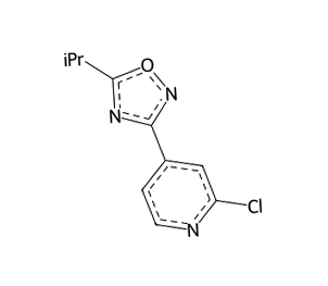 CC(C)c1nc(-c2ccnc(Cl)c2)no1